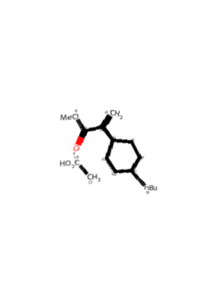 C=C(C(=O)OC)C1CCC(CCCC)CC1.CC(=O)O